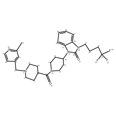 Cc1cc(CN2CCC(C(=O)N3CCC(n4c(=O)n(CCCC(F)(F)F)c5ccccc54)CC3)CC2)ccn1